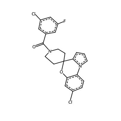 O=C(c1cc(F)cc(Cl)c1)N1CCC2(CC1)Oc1cc(Cl)ccc1-n1cccc12